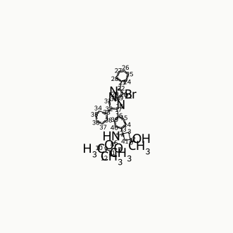 CC1(O)CC(NC(=O)OC(C)(C)C)(c2ccc(-c3nc4c(Br)c(-c5ccccc5)nn4cc3-c3ccccc3)cc2)C1